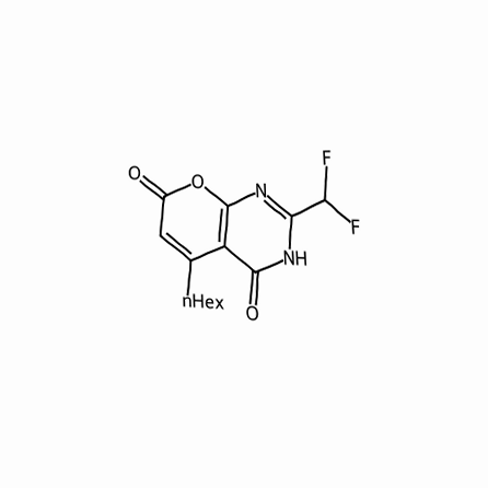 CCCCCCc1cc(=O)oc2nc(C(F)F)[nH]c(=O)c12